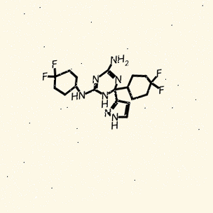 NC1=NC(c2cc[nH]n2)(C2CCC(F)(F)CC2)NC(NC2CCC(F)(F)CC2)=N1